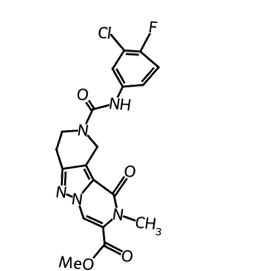 COC(=O)c1cn2nc3c(c2c(=O)n1C)CN(C(=O)Nc1ccc(F)c(Cl)c1)CC3